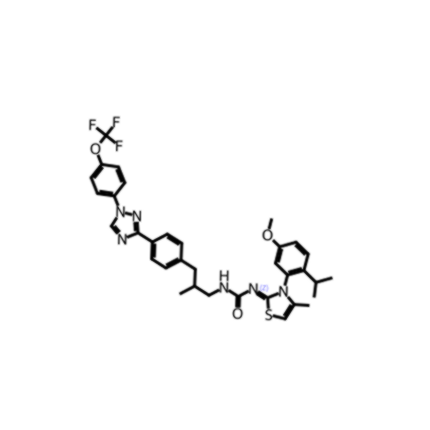 COc1ccc(C(C)C)c(-n2c(C)cs/c2=N\C(=O)NCC(C)Cc2ccc(-c3ncn(-c4ccc(OC(F)(F)F)cc4)n3)cc2)c1